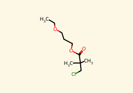 CCOCCCOC(=O)C(C)(C)CCl